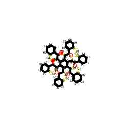 O=C(C(=S)c1c(C(=S)C(=O)C2=CC=CCC2=S)c(C(=S)C(=O)C2=CC=CCC2=S)c(C(=S)C(=O)C2=CC=CCC2=S)c(C(=S)C(=O)C2=CC=CCC2=S)c1C(=S)C(=O)C1=CC=CCC1=S)C1=CC=CCC1=S